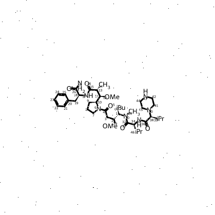 CC[C@H](C)[C@@H](C(CC(=O)N1CCC[C@H]1[C@H](OC)[C@@H](C)C(=O)N[C@@H](Cc1ccccc1)C(N)=O)OC)N(C)C(=O)[C@@H](NC(=O)[C@H](C(C)C)N1CCNCC1)C(C)C